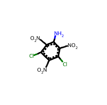 Nc1c([N+](=O)[O-])c(Cl)c([N+](=O)[O-])c(Cl)c1[N+](=O)[O-]